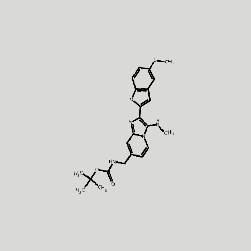 CNc1c(-c2cc3cc(OC)ccc3o2)nc2cc(CNC(=O)OC(C)(C)C)ccn12